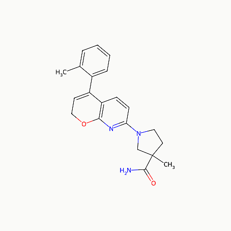 Cc1ccccc1C1=CCOc2nc(N3CCC(C)(C(N)=O)C3)ccc21